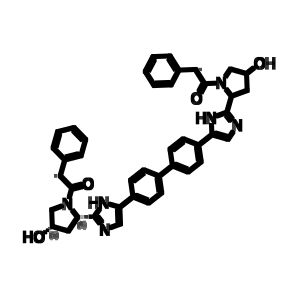 O=C([CH]c1ccccc1)N1CC(O)CC1c1ncc(-c2ccc(-c3ccc(-c4cnc([C@@H]5C[C@H](O)CN5C(=O)[CH]c5ccccc5)[nH]4)cc3)cc2)[nH]1